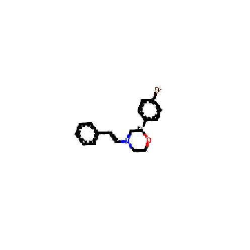 Brc1ccc([C@@H]2CN(C=Cc3ccccc3)CCO2)cc1